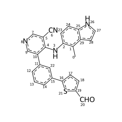 Cc1c(Nc2c(C#N)cncc2-c2cccc(-c3ccc(C=O)s3)c2)ccc2[nH]ccc12